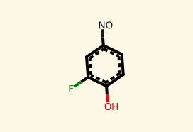 O=Nc1ccc(O)c(F)c1